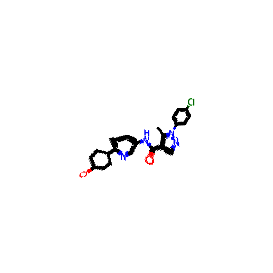 Cc1c(C(=O)Nc2ccc(C3CCC(=O)CC3)nc2)cnn1-c1ccc(Cl)cc1